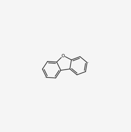 [c]1ccc2c(c1)oc1cc[c]cc12